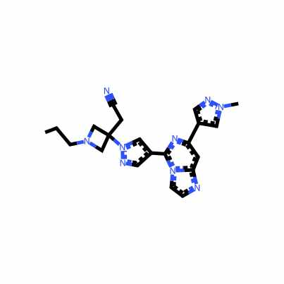 CCCN1CC(CC#N)(n2cc(-c3nc(-c4cnn(C)c4)cc4nccn34)cn2)C1